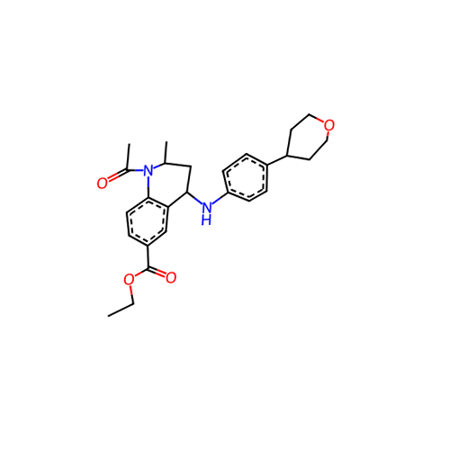 CCOC(=O)c1ccc2c(c1)C(Nc1ccc(C3CCOCC3)cc1)CC(C)N2C(C)=O